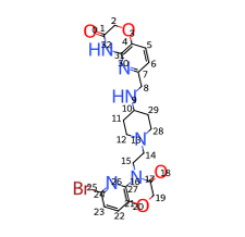 O=C1COc2ccc(CNC3CCN(CCN4C(=O)COc5ccc(Br)nc54)CC3)nc2N1